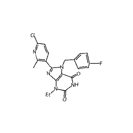 CCn1c(=O)[nH]c(=O)c2c1nc(-c1ccc(Cl)nc1C)n2Cc1ccc(F)cc1